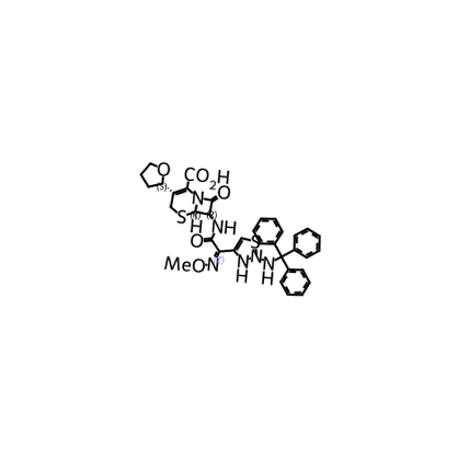 CO/N=C(\C(=O)N[C@@H]1C(=O)N2C(C(=O)O)=C([C@@H]3CCCO3)CS[C@H]12)C1=CSN(NC(c2ccccc2)(c2ccccc2)c2ccccc2)N1